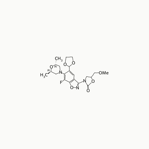 COCC1CN(c2noc3c(F)c(N4C[C@@H](C)O[C@H](C)C4)c(C4OCCO4)cc23)C(=O)O1